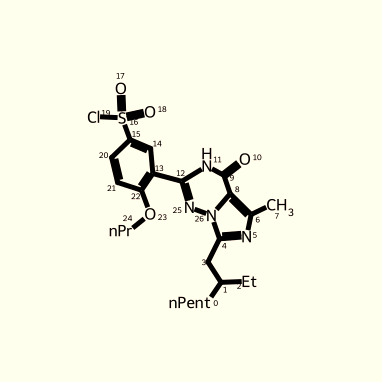 CCCCCC(CC)Cc1nc(C)c2c(=O)[nH]c(-c3cc(S(=O)(=O)Cl)ccc3OCCC)nn12